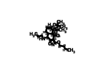 C=CCN[C@@H]1c2onc(OCCCC)c2C(=O)[C@@]2(O[Si](C)(C)C(C)(C)C)C(=O)C=CCC12